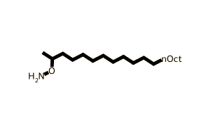 CCCCCCCCCCCCCCCCCCC(C)ON